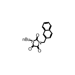 CCCCN1C(=O)C(=O)N(Cc2ccc3ccccc3c2)C1=O